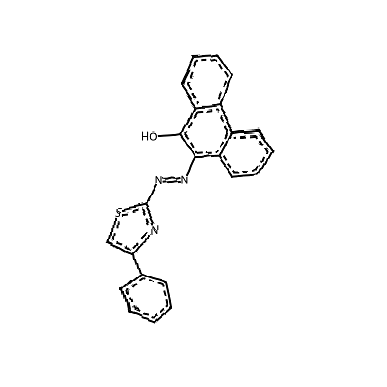 Oc1c(N=Nc2nc(-c3ccccc3)cs2)c2ccccc2c2ccccc12